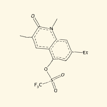 CCc1cc(OS(=O)(=O)C(F)(F)F)c2cc(C)c(=O)n(C)c2c1